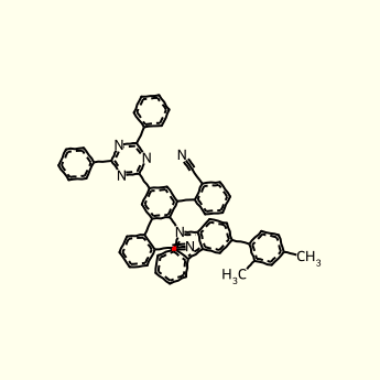 Cc1ccc(-c2ccc3c(c2)c2ccccc2n3-c2c(-c3ccccc3C#N)cc(-c3nc(-c4ccccc4)nc(-c4ccccc4)n3)cc2-c2ccccc2C#N)c(C)c1